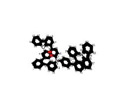 c1ccc(-c2ccccc2-c2cccc(N(c3ccc(-c4ccccc4-c4ccccc4-n4c5ccccc5c5ccccc54)cc3)c3ccc(-c4cccc5c4oc4ccccc45)cc3)c2)cc1